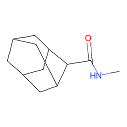 CNC(=O)C1C2CC3CC(C2)CC1C3